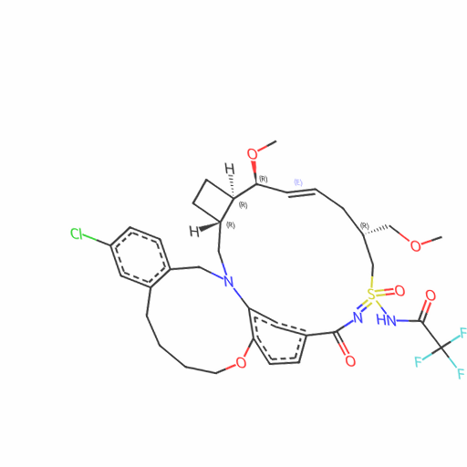 COC[C@H]1C/C=C/[C@H](OC)[C@@H]2CC[C@H]2CN2Cc3ccc(Cl)cc3CCCCOc3ccc(cc32)C(=O)N=S(=O)(NC(=O)C(F)(F)F)C1